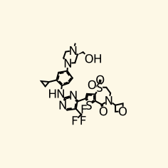 CN1CCN(c2ccc(Nc3ncc(C(F)(F)F)c(-c4cc5c(s4)C(=O)N(C4COC4)CCS5(=O)=O)n3)c(C3CC3)c2)C[C@@H]1CO